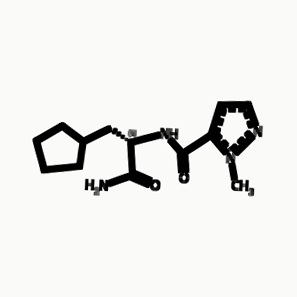 Cn1nccc1C(=O)N[C@@H](CC1CCCC1)C(N)=O